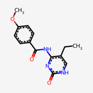 CCc1c[nH]c(=O)nc1NC(=O)c1ccc(OC)cc1